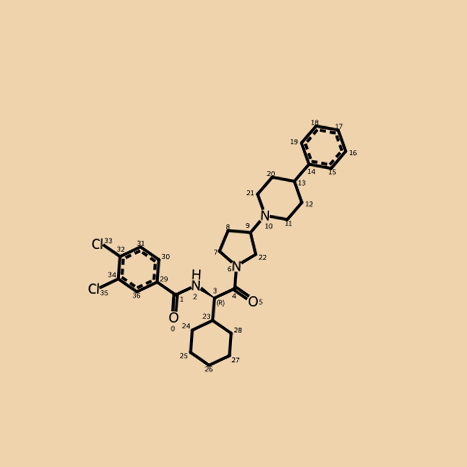 O=C(N[C@@H](C(=O)N1CCC(N2CCC(c3ccccc3)CC2)C1)C1CCCCC1)c1ccc(Cl)c(Cl)c1